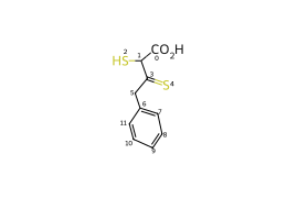 O=C(O)C(S)C(=S)Cc1ccccc1